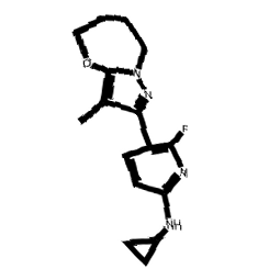 Cc1c(-c2ccc(NC3CC3)nc2F)nn2c1OCCCC2